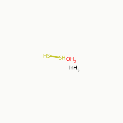 O.SS.[InH3]